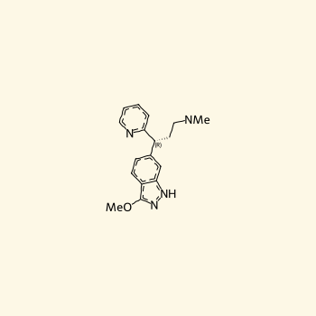 CNCC[C@H](c1ccc2c(OC)n[nH]c2c1)c1ccccn1